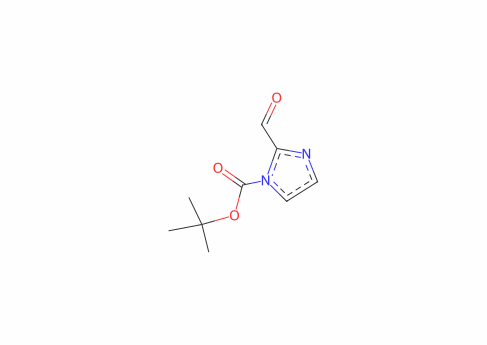 CC(C)(C)OC(=O)n1ccnc1C=O